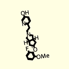 COc1cccc(F)c1O[C@H]1C[C@@H]2CN(CCc3ccc(O)cn3)C[C@@H]2C1